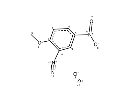 COc1ccc([N+](=O)[O-])cc1[N+]#N.[Cl-].[Zn]